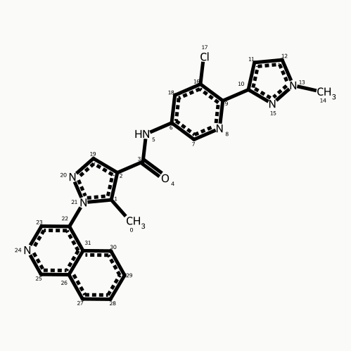 Cc1c(C(=O)Nc2cnc(-c3ccn(C)n3)c(Cl)c2)cnn1-c1cncc2ccccc12